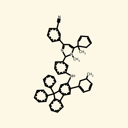 CC1C=CC=C(c2cc3c(cc2Nc2cccc(C4N=C(c5cccc(C#N)c5)C=C(C5(C)C=CC=CC5)N4C)c2)C(c2ccccc2)(c2ccccc2)c2ccccc2-3)C1